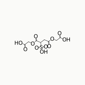 O=C(O)COC(=O)CC(C(=O)OCC(=O)O)S(=O)(=O)O